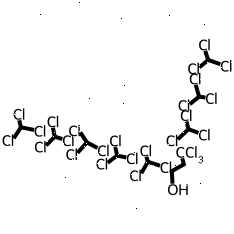 ClC(Cl)Cl.ClC(Cl)Cl.ClC(Cl)Cl.ClC(Cl)Cl.ClC(Cl)Cl.ClC(Cl)Cl.ClC(Cl)Cl.ClC(Cl)Cl.OCCC(Cl)(Cl)Cl